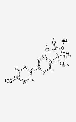 CCOP1(=O)Oc2cc(-c3ccc(C(C)(C)C)cc3)ccc2C1(C)C